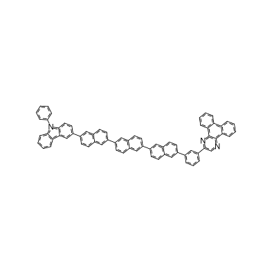 c1ccc(-n2c3ccccc3c3cc(-c4ccc5cc(-c6ccc7cc(-c8ccc9cc(-c%10cccc(-c%11cnc%12c%13ccccc%13c%13ccccc%13c%12n%11)c%10)ccc9c8)ccc7c6)ccc5c4)ccc32)cc1